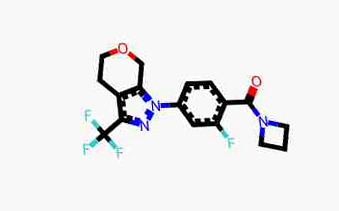 O=C(c1ccc(-n2nc(C(F)(F)F)c3c2COCC3)cc1F)N1CCC1